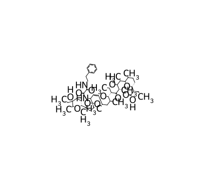 CCC(C(=O)[C@@H](C)[C@@H](O)[C@H](C)[C@@H]1O[C@@H]([C@@H](CC)C(=O)O)CC[C@@H]1C)[C@H]1O[C@]2(C=CC(NC(=O)C(=O)NCCc3ccccc3)[C@]3(CC[C@@](C)([C@H]4CC[C@](O)(CC)[C@H](C)O4)O3)O2)[C@H](C)C[C@@H]1C